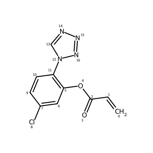 C=CC(=O)Oc1cc(Cl)ccc1-n1cnnn1